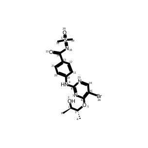 C[C@@H](O)[C@@H](C)Oc1nc(Nc2ccc(C(=O)N=S(C)(C)=O)cc2)ncc1Br